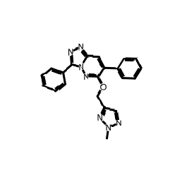 Cn1ncc(COc2nn3c(-c4ccccc4)nnc3cc2-c2ccccc2)n1